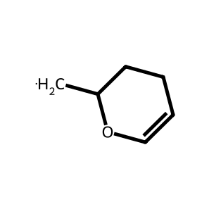 [CH2]C1CCC=CO1